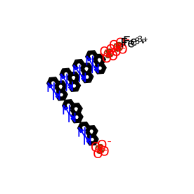 O=S(=O)([O-])[O-].O=S(=O)([O-])[O-].O=S(=O)([O-])[O-].[Fe+3].[Fe+3].c1cnc2c(c1)ccc1cccnc12.c1cnc2c(c1)ccc1cccnc12.c1cnc2c(c1)ccc1cccnc12.c1cnc2c(c1)ccc1cccnc12.c1cnc2c(c1)ccc1cccnc12.c1cnc2c(c1)ccc1cccnc12